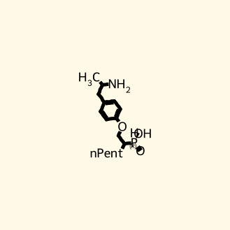 CCCCCC(COc1ccc(CC(C)N)cc1)[P@H](=O)O